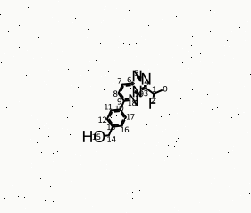 CC(F)c1nnc2ccc(-c3ccc(CO)cc3)nn12